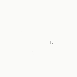 C=c1ccs/c1=C(Cl)/N=C\C